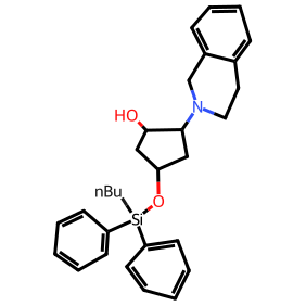 CCCC[Si](OC1CC(O)C(N2CCc3ccccc3C2)C1)(c1ccccc1)c1ccccc1